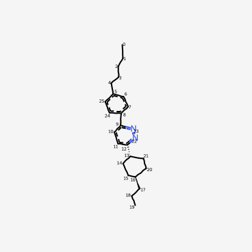 CCCCCc1ccc(-c2ccc([C@H]3CC[C@H](CCC)CC3)nn2)cc1